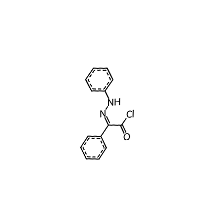 O=C(Cl)/C(=N\Nc1ccccc1)c1ccccc1